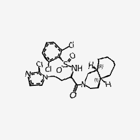 O=C(C(CCn1ccnc1Cl)NS(=O)(=O)c1c(Cl)cccc1Cl)N1CC[C@H]2CCCC[C@H]2C1